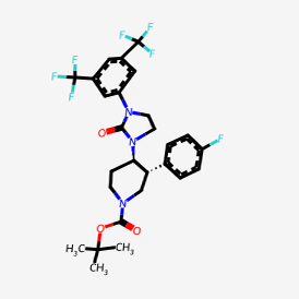 CC(C)(C)OC(=O)N1CC[C@@H](N2CCN(c3cc(C(F)(F)F)cc(C(F)(F)F)c3)C2=O)[C@H](c2ccc(F)cc2)C1